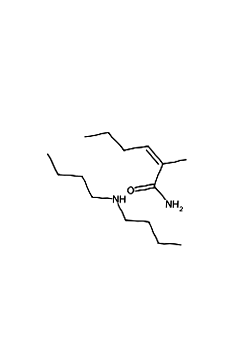 CCCC=C(C)C(N)=O.CCCCNCCCC